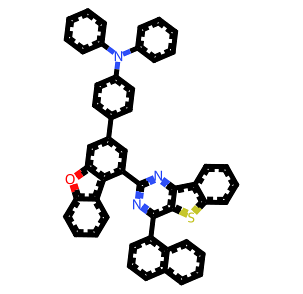 c1ccc(N(c2ccccc2)c2ccc(-c3cc(-c4nc(-c5cccc6ccccc56)c5sc6ccccc6c5n4)c4c(c3)oc3ccccc34)cc2)cc1